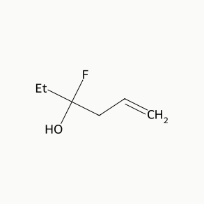 C=CCC(O)(F)CC